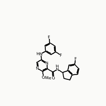 COc1ncc(Nc2cc(F)cc(F)c2)nc1C(=O)NC1CCc2ccc(F)cc21